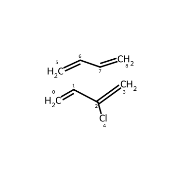 C=CC(=C)Cl.C=CC=C